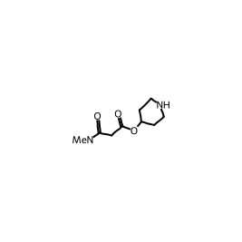 CNC(=O)CC(=O)OC1CCNCC1